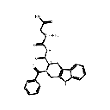 N[C@@H](CC(=O)O)C(=O)NC(=O)[C@H]1Cc2c([nH]c3ccccc23)CN1C(=O)c1ccccc1